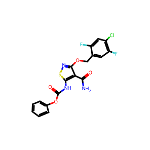 NC(=O)c1c(OCc2cc(F)c(Cl)cc2F)nsc1NC(=O)Oc1ccccc1